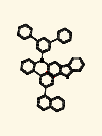 c1ccc(-c2cc(-c3ccccc3)cc(N(c3ccc4sc5ccccc5c4c3)c3ccccc3-c3cccc(-c4cccc5ccccc45)c3)c2)cc1